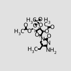 CCc1cn([C@@H]2O[C@H](COC(C)=O)[C@H](OS(C)(=O)=O)[C@H]2OC(C)=O)c(=O)nc1N